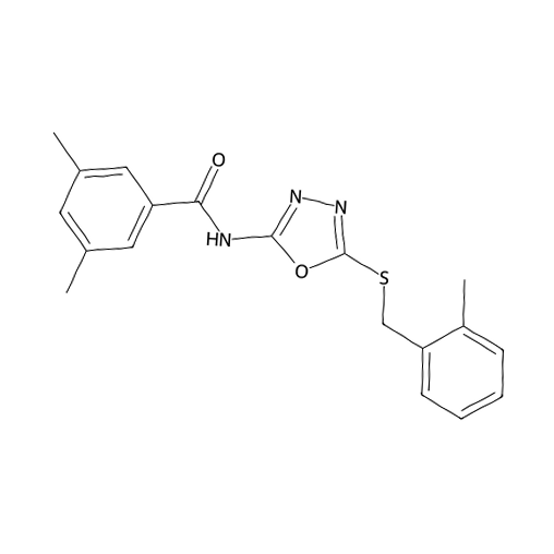 Cc1cc(C)cc(C(=O)Nc2nnc(SCc3ccccc3C)o2)c1